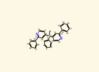 C[Si](c1ccccc1)(c1ccnc(-c2ccccc2)c1)c1ccnc(-c2ccccc2)c1